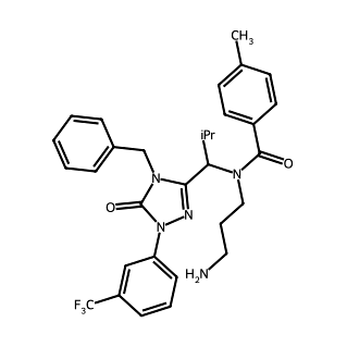 Cc1ccc(C(=O)N(CCCN)C(c2nn(-c3cccc(C(F)(F)F)c3)c(=O)n2Cc2ccccc2)C(C)C)cc1